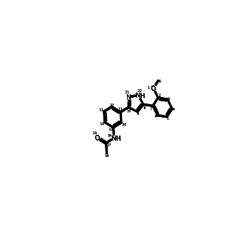 COc1ccccc1-c1cc(-c2cccc(NC(C)=O)c2)n[nH]1